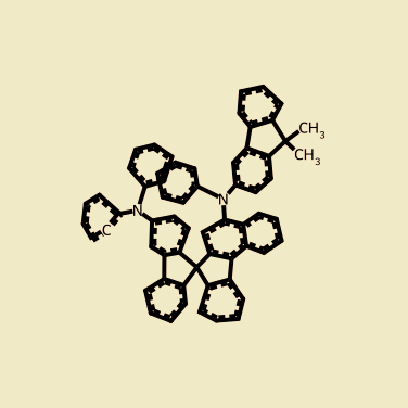 CC1(C)c2ccccc2-c2cc(N(c3ccccc3)c3cc4c(c5ccccc35)-c3ccccc3C43c4ccccc4-c4cc(N(c5ccccc5)c5ccccc5)ccc43)ccc21